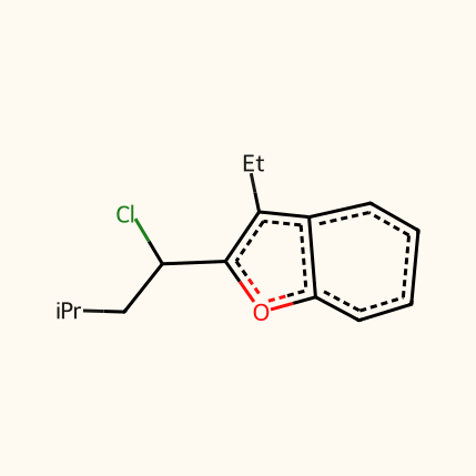 CCc1c(C(Cl)CC(C)C)oc2ccccc12